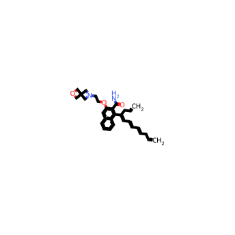 C=CCC=CC=CC=C(CC=C)c1c(C(N)=O)c(OCCN2CC3(COC3)C2)cc2ccccc12